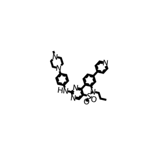 CCCN1c2cc(-c3ccncc3)ccc2-c2nc(Nc3ccc(N4CCN(C)CC4)cc3)ncc2S1(=O)=O